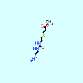 COC(=O)CCSCCNC(=O)NCCN=[N+]=[N-]